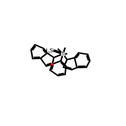 [CH3][Ti]([CH3])([CH3])(=[SiH2])([c]1ccccc1)([CH]1C=Cc2ccccc21)[CH]1C=Cc2ccccc21